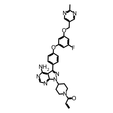 C=CC(=O)N1CCC(n2nc(-c3ccc(Oc4cc(F)cc(OCc5cnc(C)nc5)c4)cc3)c3c(N)ncnc32)CC1